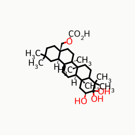 CC1(C)CC[C@]2(COC(=O)O)CC[C@]3(C)C(=CC[C@@H]4[C@@]5(C)C[C@H](O)C(O)(O)C(C)(C)C5CC[C@]43C)[C@H]2C1